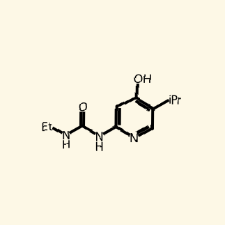 CCNC(=O)Nc1cc(O)c(C(C)C)cn1